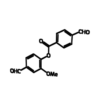 COc1cc(C=O)ccc1OC(=O)c1ccc(C=O)cc1